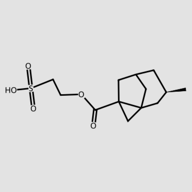 C[C@@H]1CC2CC3(C1)CC3(C(=O)OCCS(=O)(=O)O)C2